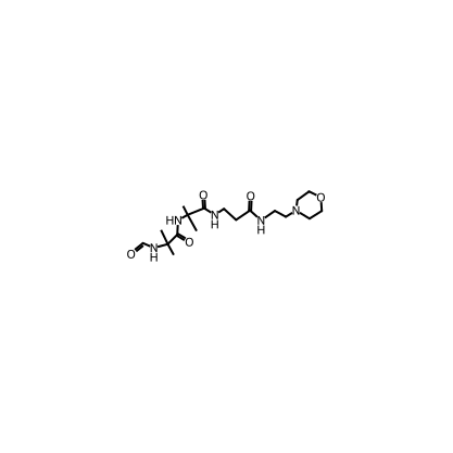 CC(C)(NC=O)C(=O)NC(C)(C)C(=O)NCCC(=O)NCCN1CCOCC1